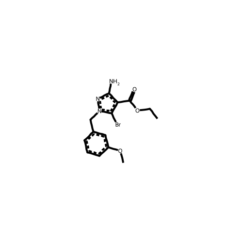 CCOC(=O)c1c(N)nn(Cc2cccc(OC)c2)c1Br